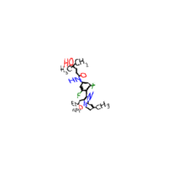 CCCOC(CC)Cc1c(-c2c(F)cc(NC(=O)CCC(C)(C)O)cc2F)nc2cc(C)ccn12